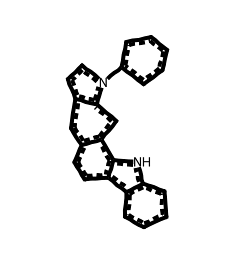 c1ccc(-n2ccc3cc4ccc5c6ccccc6[nH]c5c4cc32)cc1